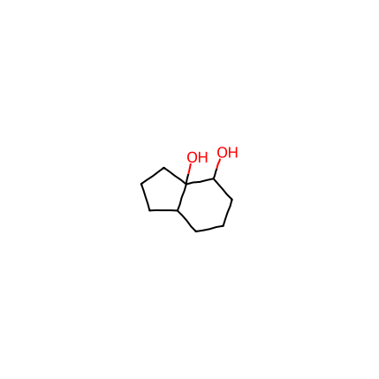 OC1CCCC2CCCC12O